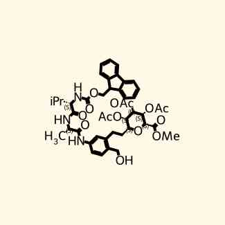 COC(=O)[C@H]1O[C@@H](CCc2cc(NC(=O)[C@H](C)NC(=O)[C@@H](NC(=O)OCC3c4ccccc4-c4ccccc43)C(C)C)ccc2CO)[C@H](OC(C)=O)[C@@H](OC(C)=O)[C@@H]1OC(C)=O